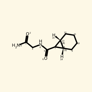 NC(=O)CNC(=O)C1[C@H]2CCCC[C@@H]12